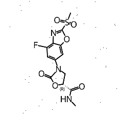 CNC(=O)[C@H]1CN(c2cc(F)c3nc(S(C)(=O)=O)oc3c2)C(=O)O1